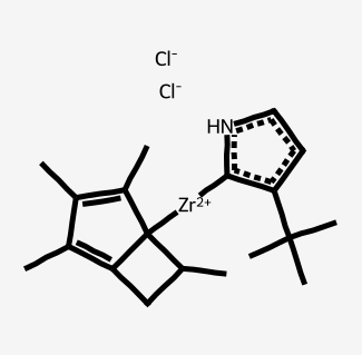 CC1=C(C)[C]2([Zr+2][c]3[nH]ccc3C(C)(C)C)C(=C1C)CC2C.[Cl-].[Cl-]